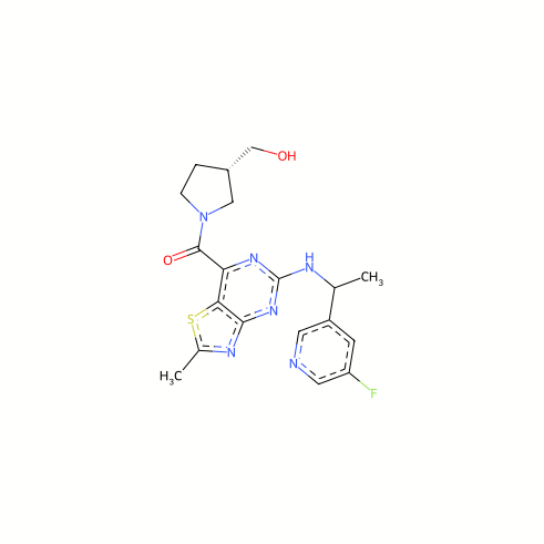 Cc1nc2nc(NC(C)c3cncc(F)c3)nc(C(=O)N3CC[C@H](CO)C3)c2s1